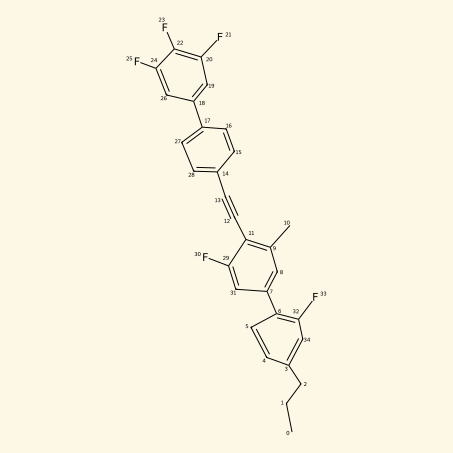 CCCc1ccc(-c2cc(C)c(C#Cc3ccc(-c4cc(F)c(F)c(F)c4)cc3)c(F)c2)c(F)c1